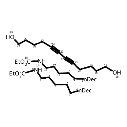 CCCCCCCCCCCCCCCNC(=O)OCC.CCCCCCCCCCCCCCCNC(=O)OCC.OCCCCC#CC#CCCCCO